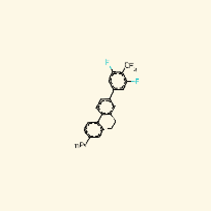 CCCc1ccc2c(c1)CCc1cc(-c3cc(F)c(C(F)(F)F)c(F)c3)ccc1-2